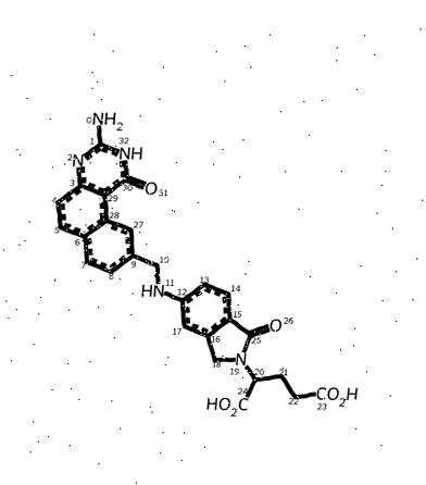 Nc1nc2ccc3ccc(CNc4ccc5c(c4)CN(C(CCC(=O)O)C(=O)O)C5=O)cc3c2c(=O)[nH]1